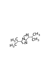 CC(C)c1cnc2n1C=NC2C(C)C